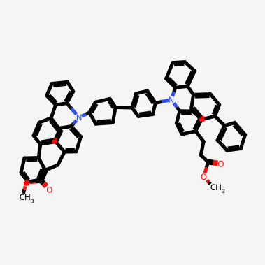 COC(=O)CCc1ccc(N(c2ccc(-c3ccc(N(c4ccc(CCC(=O)OC)cc4)c4ccccc4-c4ccc(-c5ccccc5)cc4)cc3)cc2)c2ccccc2-c2ccc(-c3ccccc3)cc2)cc1